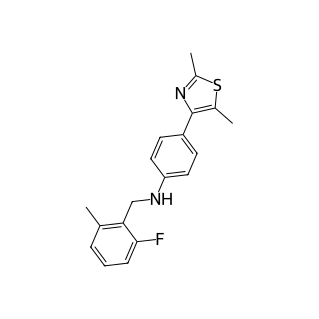 Cc1nc(-c2ccc(NCc3c(C)cccc3F)cc2)c(C)s1